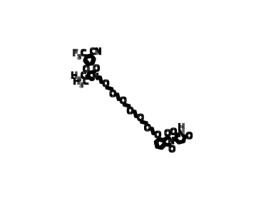 CC1(C)CN(CCOCCOCCOCCOCCOCCOCCOc2cccc3c2C(=O)N(C2CCC(=O)NC2=O)C3=O)C(=O)C1Oc1ccc(C#N)c(C(F)(F)F)c1